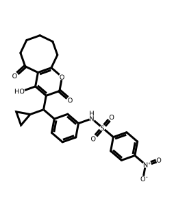 O=C1CCCCCc2oc(=O)c(C(c3cccc(NS(=O)(=O)c4ccc([N+](=O)[O-])cc4)c3)C3CC3)c(O)c21